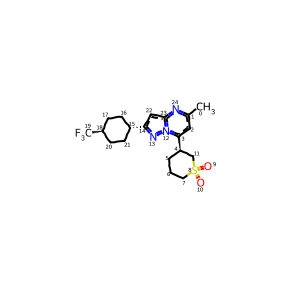 Cc1cc([C@@H]2CCCS(=O)(=O)C2)n2nc([C@H]3CC[C@H](C(F)(F)F)CC3)cc2n1